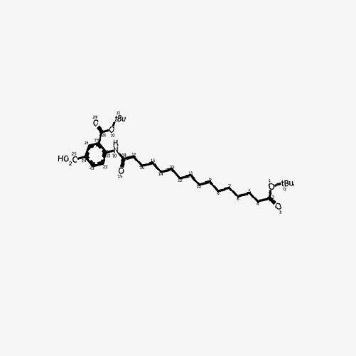 CC(C)(C)OC(=O)CCCCCCCCCCCCCCC(=O)Nc1ccc(C(=O)O)cc1C(=O)OC(C)(C)C